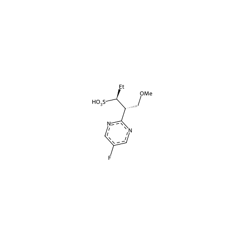 CC[C@@H]([C@H](COC)c1ncc(F)cn1)S(=O)(=O)O